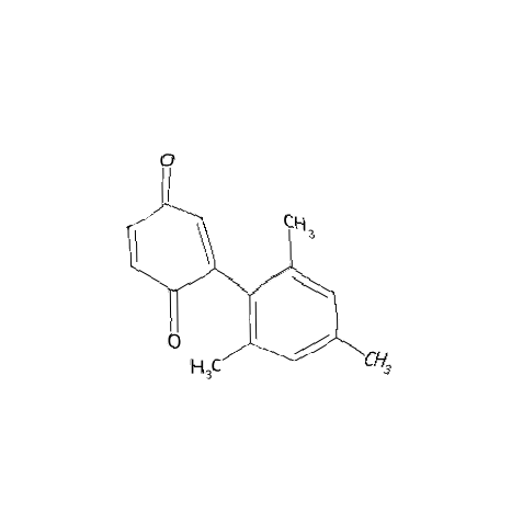 Cc1cc(C)c(C2=CC(=O)C=CC2=O)c(C)c1